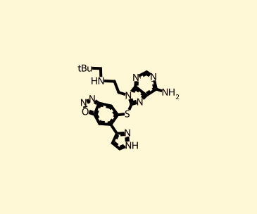 CC(C)(C)CNCCn1c(Sc2cc3nnoc3cc2-c2cc[nH]n2)nc2c(N)ncnc21